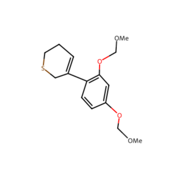 COCOc1ccc(C2=CCCSC2)c(OCOC)c1